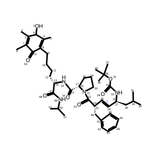 CC1=C(C)C(O)C(C)=C(CCCC[C@H](NC(=O)[C@@H]2CCCN2C(=O)[C@H](/C=C/[C@H](CC(C)C)NC(=O)OC(C)(C)C)Cc2ccccc2)C(=O)NC(C)C)C1=O